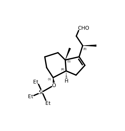 CC[Si](CC)(CC)O[C@H]1CCC[C@]2(C)C([C@H](C)CC=O)=CC[C@@H]12